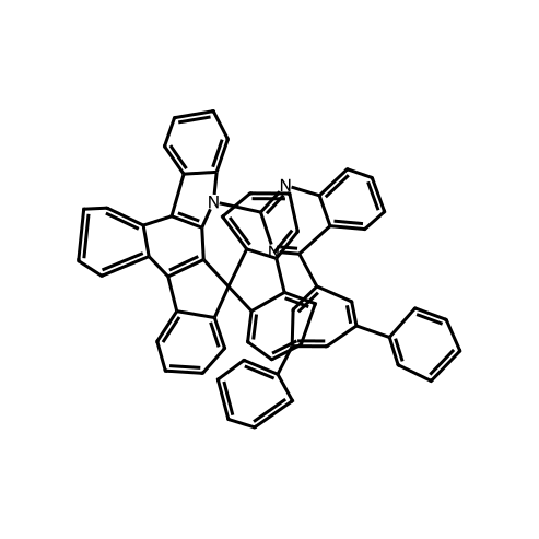 c1ccc(-c2cc(-c3ccccc3)cc(-c3nc(-n4c5ccccc5c5c6ccccc6c6c(c54)C4(c5ccccc5-c5ccccc54)c4ccccc4-6)nc4ccccc34)c2)cc1